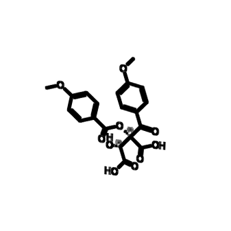 COc1ccc(C(=O)O[C@@](C(=O)O)(C(=O)c2ccc(OC)cc2)[C@@H](O)C(=O)O)cc1